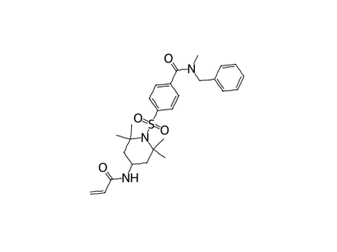 C=CC(=O)NC1CC(C)(C)N(S(=O)(=O)c2ccc(C(=O)N(C)Cc3ccccc3)cc2)C(C)(C)C1